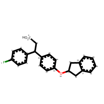 O=C(O)CC(c1ccc(F)cc1)c1ccc(OC2Cc3ccccc3C2)cc1